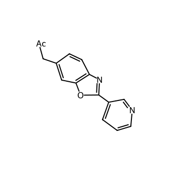 CC(=O)Cc1ccc2nc(-c3cccnc3)oc2c1